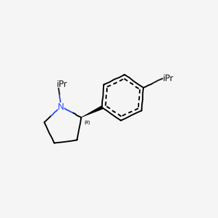 CC(C)c1ccc([C@H]2CCCN2C(C)C)cc1